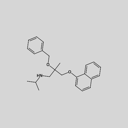 CC(C)NCC(C)(COc1cccc2ccccc12)OCc1ccccc1